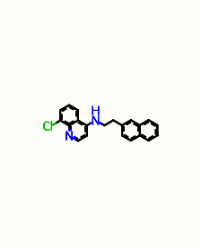 Clc1cccc2c(NCCc3ccc4ccccc4c3)ccnc12